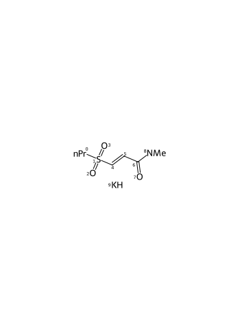 CCCS(=O)(=O)C=CC(=O)NC.[KH]